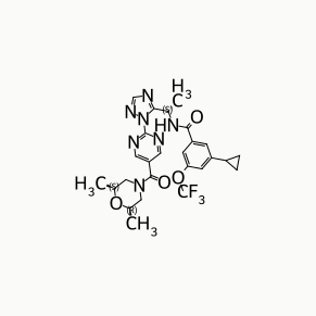 C[C@@H]1CN(C(=O)c2cnc(-n3ncnc3[C@H](C)NC(=O)c3cc(OC(F)(F)F)cc(C4CC4)c3)nc2)C[C@H](C)O1